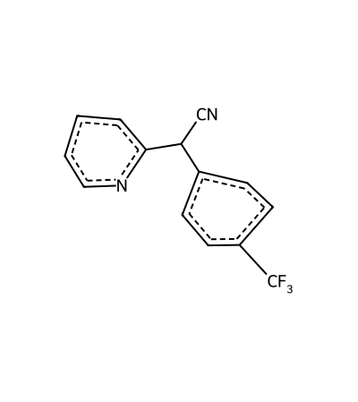 N#CC(c1ccc(C(F)(F)F)cc1)c1ccccn1